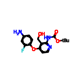 CC(C)(C)OC(=O)Nc1nccc(Oc2ccc(N)cc2F)c1CO